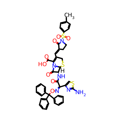 Cc1ccc(S(=O)(=O)N2CC/C(=C\C3=C(C(=O)O)N4C(=O)[C@@H](NC(=O)/C(=N\OC(c5ccccc5)(c5ccccc5)c5ccccc5)c5csc(N)n5)[C@H]4SC3)C2=O)cc1